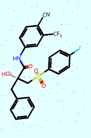 N#Cc1ccc(NC(=O)[C@](O)(Cc2ccccc2)CS(=O)(=O)c2ccc(F)cc2)cc1C(F)(F)F